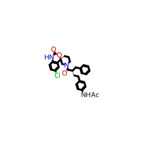 CC(=O)Nc1ccc(CC[C@@H](Cc2ccccc2)C(=O)N2CCC[C@@]3(C2)OC(=O)Nc2ccc(Cl)cc23)cc1